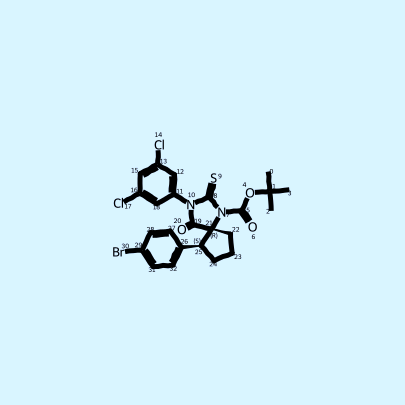 CC(C)(C)OC(=O)N1C(=S)N(c2cc(Cl)cc(Cl)c2)C(=O)[C@]12CCC[C@H]2c1ccc(Br)cc1